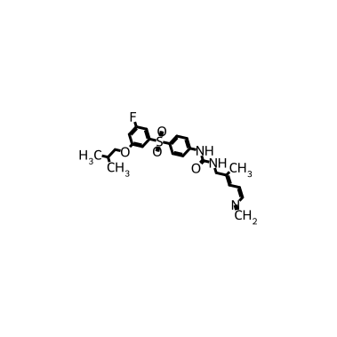 C=N/C=C\C=C(/C)CNC(=O)Nc1ccc(S(=O)(=O)c2cc(F)cc(OCC(C)C)c2)cc1